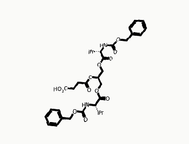 CC(C)[C@H](NC(=O)OCc1ccccc1)C(=O)OCC(COC(=O)[C@@H](NC(=O)OCc1ccccc1)C(C)C)OC(=O)CCC(=O)O